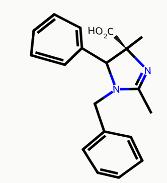 CC1=N[C@](C)(C(=O)O)C(c2ccccc2)N1Cc1ccccc1